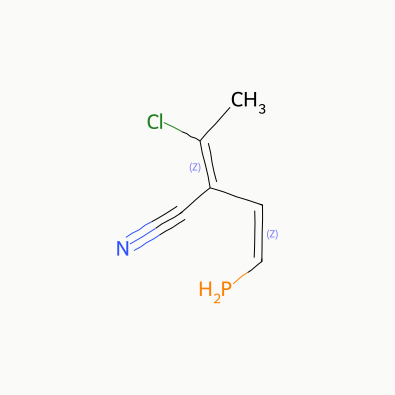 C/C(Cl)=C(C#N)\C=C/P